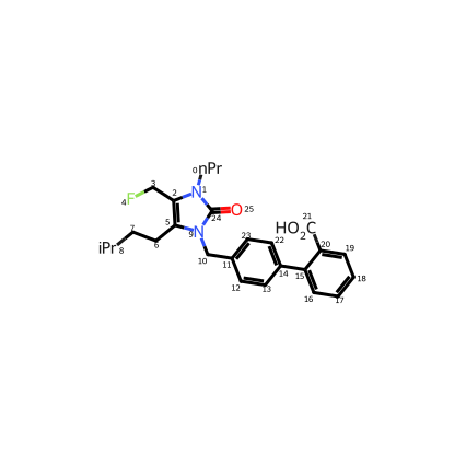 CCCn1c(CF)c(CCC(C)C)n(Cc2ccc(-c3ccccc3C(=O)O)cc2)c1=O